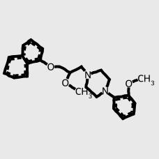 COc1ccccc1N1CCN(CC(COc2cccc3ccccc23)OC)CC1